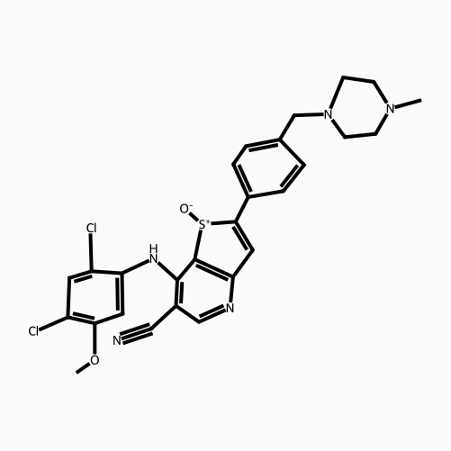 COc1cc(Nc2c(C#N)cnc3cc(-c4ccc(CN5CCN(C)CC5)cc4)[s+]([O-])c23)c(Cl)cc1Cl